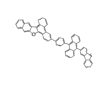 c1ccc2cc3c(cc2c1)oc1c2ccc(-c4ccc(-c5c6ccccc6c(-c6ccc7sc8ccccc8c7c6)c6ccccc56)cc4)cc2c2ccccc2c31